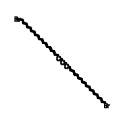 BrCCCCCCCCCCCCCCC=CCCCOCOCOCCCC=CCCCCCCCCCCCCCCBr